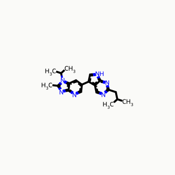 Cc1nc2ncc(-c3c[nH]c4nc(CC(C)C)ncc34)cc2n1C(C)C